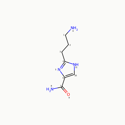 NCCCc1nc(C(N)=O)c[nH]1